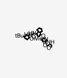 COc1ccc(C(C)(C)C)cc1NC(=O)Nc1ccc(Oc2ccnc(NC3CCOC3=O)n2)c2ccccc12